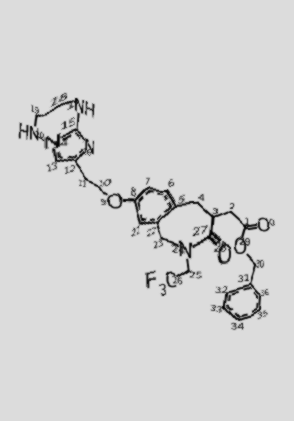 O=C(CC1Cc2ccc(OCCc3cn4c(n3)NCCN4)cc2CN(CC(F)(F)F)C1=O)OCc1ccccc1